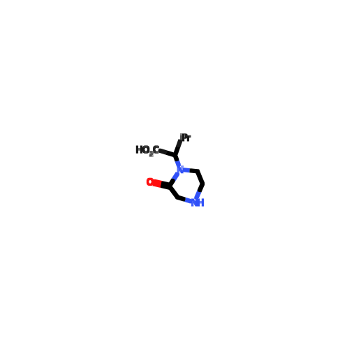 CC(C)C(C(=O)O)N1CCNCC1=O